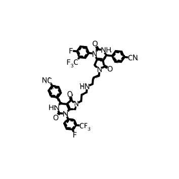 N#Cc1ccc(C2NC(=O)N(c3ccc(F)c(C(F)(F)F)c3)C3=C2C(=O)N(CCCNCCCN2CC4=C(C2=O)C(c2ccc(C#N)cc2)NC(=O)N4c2ccc(F)c(C(F)(F)F)c2)C3)cc1